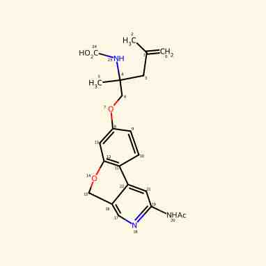 C=C(C)CC(C)(COc1ccc2c(c1)OCc1cnc(NC(C)=O)cc1-2)NC(=O)O